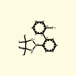 CC1(C)OB(c2ccccc2-c2ccccc2F)OC1(C)C